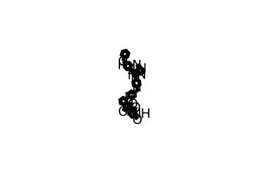 Nc1ncnc2c1c(-c1ccc(Oc3ccccc3)cc1)nn2C1CCN(CC2CCN(c3cccc4c3C(=O)N(N3CCC(=O)NC3=O)C4=O)CC2)CC1